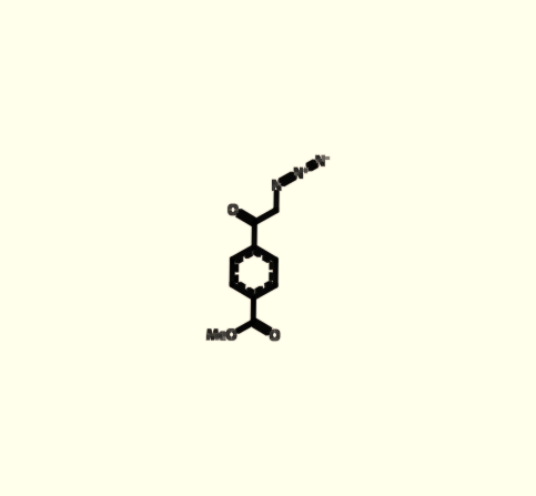 COC(=O)c1ccc(C(=O)CN=[N+]=[N-])cc1